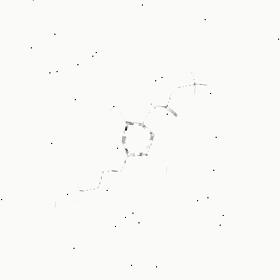 [CH2][C@H](O)CCCc1cc(C)c(NC(=O)OC(C)(C)C)cc1O